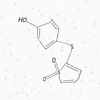 O=S1(=O)C=CC=C1Sc1ccc(O)cc1